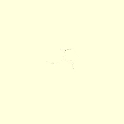 Cc1cc[nH]c1NC(C)C